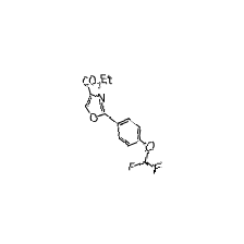 CCOC(=O)c1coc(-c2ccc(OC(F)F)cc2)n1